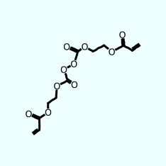 C=CC(=O)OCCOC(=O)OOC(=O)OCCOC(=O)C=C